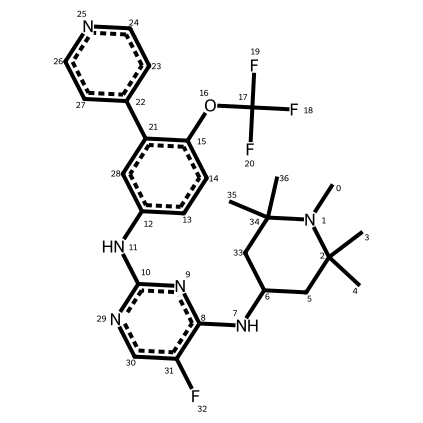 CN1C(C)(C)CC(Nc2nc(Nc3ccc(OC(F)(F)F)c(-c4ccncc4)c3)ncc2F)CC1(C)C